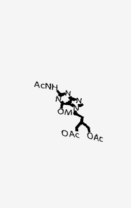 COc1nc(NC(C)=O)nc2ncn(CCC(COC(C)=O)COC(C)=O)c12